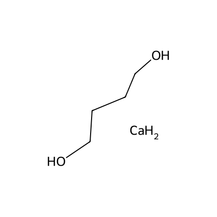 OCCCCO.[CaH2]